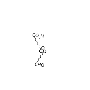 O=CCCCCCCC(=O)OC(=O)CCCCCCCC(=O)O